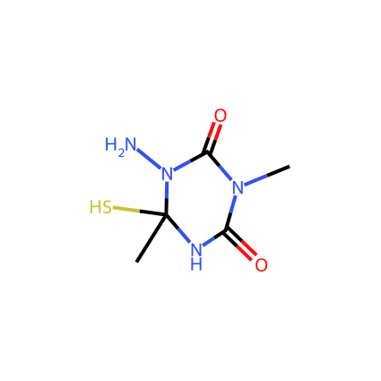 CN1C(=O)NC(C)(S)N(N)C1=O